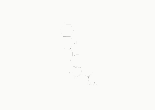 CNC(=O)c1cc(CNC(=O)NC2CCCCC2)on1